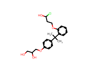 CC(C)(c1ccc(OCC(O)CO)cc1)c1ccccc1OCCC(O)Cl